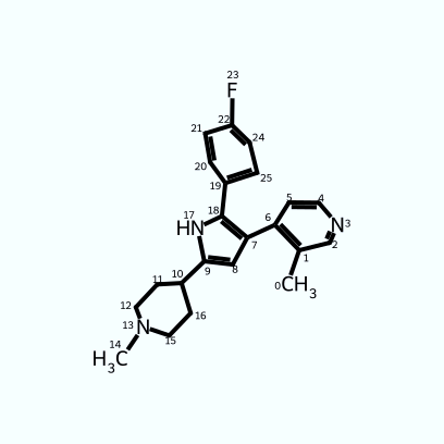 Cc1cnccc1-c1cc(C2CCN(C)CC2)[nH]c1-c1ccc(F)cc1